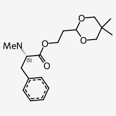 CN[C@@H](Cc1ccccc1)C(=O)OCCC1OCC(C)(C)CO1